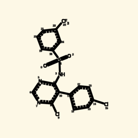 O=S(=O)(Nc1ncnc(Cl)c1-c1ccc(Cl)cc1)c1cccc(C(F)(F)F)c1